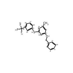 Cc1cc(OCc2ccccc2)nc(Sc2cccc(C(F)(F)F)c2)n1